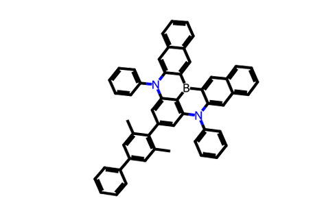 Cc1cc(-c2ccccc2)cc(C)c1-c1cc2c3c(c1)N(c1ccccc1)c1cc4ccccc4cc1B3c1cc3ccccc3cc1N2c1ccccc1